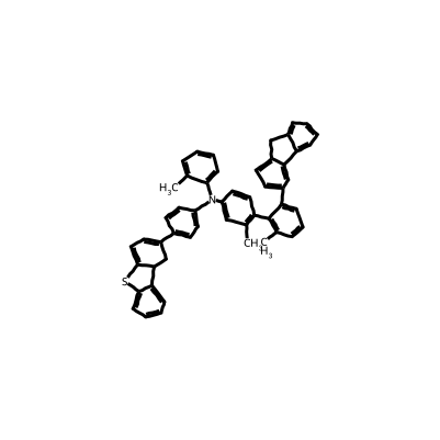 Cc1cc(N(c2ccc(C3=CC=C4Sc5ccccc5C4C3)cc2)c2ccccc2C)ccc1-c1c(C)cccc1-c1ccc2c(c1)-c1ccccc1C2